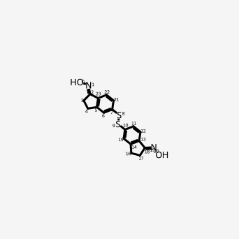 ON=C1CCc2cc(SSc3ccc4c(c3)CCC4=NO)ccc21